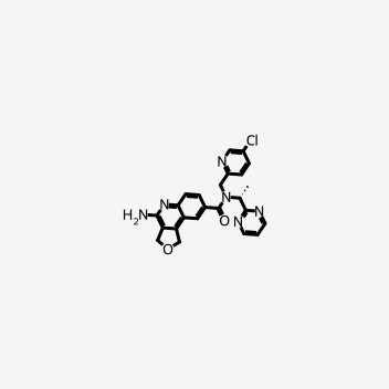 C[C@H](c1ncccn1)N(Cc1ccc(Cl)cn1)C(=O)c1ccc2nc(N)c3c(c2c1)COC3